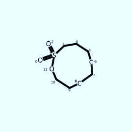 O=S1(=O)CCCCCCCCO1